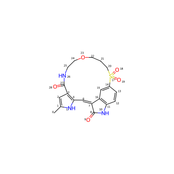 Cc1cc2c([nH]1)/C=C1\C(=O)Nc3ccc(cc31)S(=O)(=O)CCCOCCNC2=O